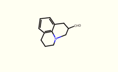 O=CC1Cc2cccc3c2N(CCC3)C1